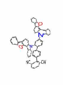 N#Cc1cccc(C#N)c1-c1ccc(-c2ccc(-n3c4ccccc4c4c5oc6ccccc6c5ccc43)cc2-n2c3ccccc3c3c4oc5ccccc5c4ccc32)cc1